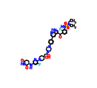 CCN(C)S(=O)(=O)Nc1cccc(C(=O)c2c[nH]c3ncc(-c4ccc(N5CCN(C(=O)CC6(O)CCN(c7ncc(NC8CCC(=O)NC8=O)cc7F)CC6)CC5)cc4)cc23)c1F